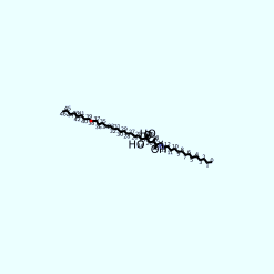 CCCCCCCCCCCCC/C=C/C(O)C(CO)CC(=O)C(O)CCCCCCCCCCCCCCCCCCCCCC